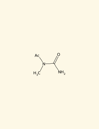 [CH2]C(=O)N(C)C(N)=O